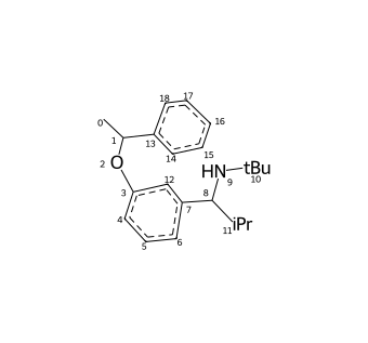 CC(Oc1cccc(C(NC(C)(C)C)C(C)C)c1)c1ccccc1